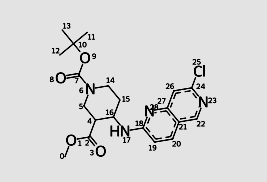 COC(=O)C1CN(C(=O)OC(C)(C)C)CCC1Nc1ccc2cnc(Cl)cc2n1